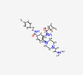 Cc1ccc(CCNC(=O)c2ccc(N3CCN(CCN(C)C)CC3)c(NC(=O)c3cccs3)c2)cc1